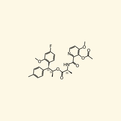 COc1cc(F)ccc1[C@H](c1ccc(C)cc1)[C@H](C)OC(=O)[C@H](C)NC(=O)c1nccc(OC)c1OC(C)=O